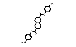 Nc1ccc(OC(=O)C2CCC3CC(C(=O)Oc4ccc(N)cc4)CCC3C2)cc1